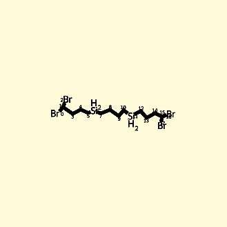 BrC(Br)CCC[SiH2]CCCC[SiH2]CCCC(Br)Br